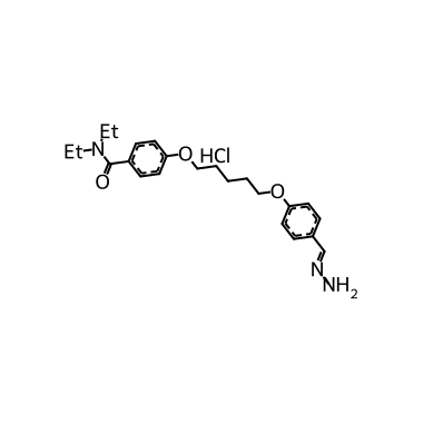 CCN(CC)C(=O)c1ccc(OCCCCCOc2ccc(C=NN)cc2)cc1.Cl